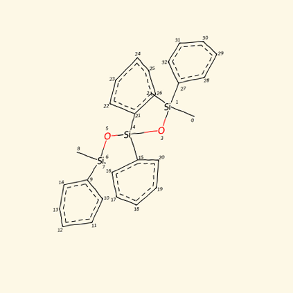 C[Si](C)(O[Si](O[Si](C)(C)c1ccccc1)(c1ccccc1)c1ccccc1)c1ccccc1